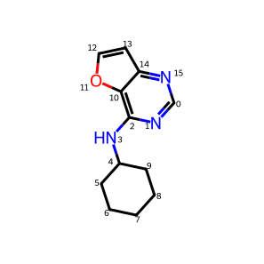 c1nc(NC2CCCCC2)c2occc2n1